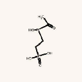 CC(=O)N(O)CCP(=O)(O)O